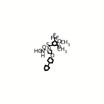 COc1cc(C(=S)N2C[C@H](Oc3ccc(-c4ccccc4)cc3)C[C@@H]2C(=O)NO)cc(C(F)(F)F)c1OC